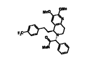 CNC(=O)[C@@H](c1ccccc1)N1CCc2nc(OC)c(OC)cc2[C@@H]1CCc1ccc(C(F)(F)F)cc1